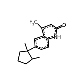 CC1CCCC1(C)c1ccc2[nH]c(=O)cc(C(F)(F)F)c2c1